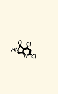 O=C1NCc2nc(Cl)cc(Cl)c21